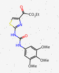 CCOC(=O)C(=O)c1csc(NC(=O)Nc2cc(OC)c(OC)c(OC)c2)n1